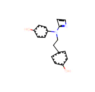 Oc1ccc(CCN(C2=NC=C2)c2ccc(O)cc2)cc1